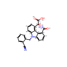 N#Cc1ccccc1Cn1c2cccc(C(N)=O)c2c2c(C(=O)C(=O)O)cccc21